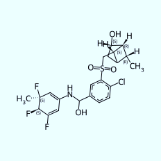 C[C@@H]1C2C[C@H](O)[C@H]1[C@H]2CS(=O)(=O)c1cc(C(O)NC2=C[C@](C)(F)[C@H](F)C(F)=C2)ccc1Cl